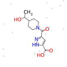 CC(O)C1CCN(C(=O)c2cc(C(=O)O)[nH]n2)CC1